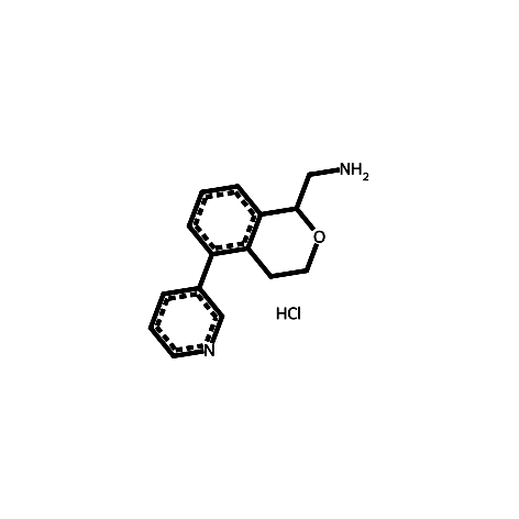 Cl.NCC1OCCc2c(-c3cccnc3)cccc21